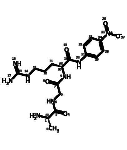 C[C@H](N)C(=O)NCC(=O)N[C@@H](CCCNC(=N)N)C(=O)Nc1ccc([N+](=O)[O-])cc1